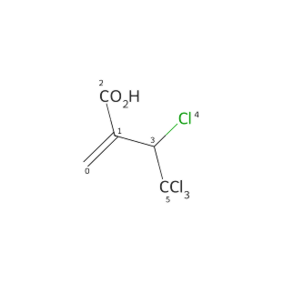 C=C(C(=O)O)C(Cl)C(Cl)(Cl)Cl